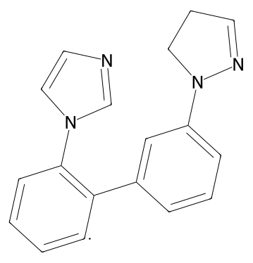 [c]1cccc(-n2ccnc2)c1-c1cccc(N2CCC=N2)c1